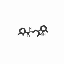 Cc1[nH]c2c(C)cccc2c1CCNC(=O)c1cccc(Cl)c1F